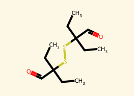 CCC(C=O)(CC)SSC(C=O)(CC)CC